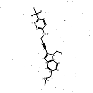 CCn1c(C#CCNc2ccc(C(C)(C)C)nc2)cc2cc(CNC)ccc21